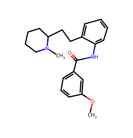 COc1cccc(C(=O)Nc2ccccc2CCC2CCCCN2C)c1